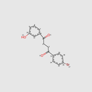 O=C(CCC(=O)c1cccc(O)c1)c1ccc(Br)cc1